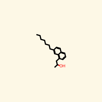 CCCCCCCc1ccc2cccc(CC(C)O)c2c1